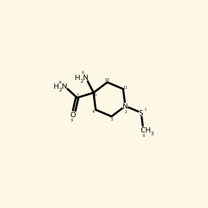 CSN1CCC(N)(C(N)=O)CC1